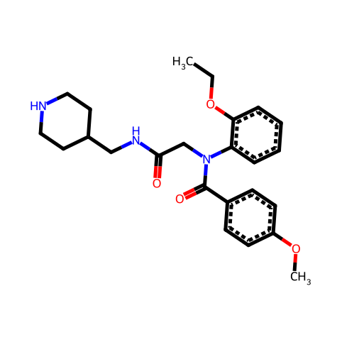 CCOc1ccccc1N(CC(=O)NCC1CCNCC1)C(=O)c1ccc(OC)cc1